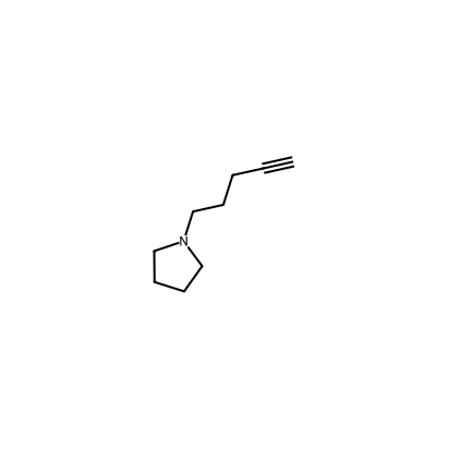 C#CCCCN1CCCC1